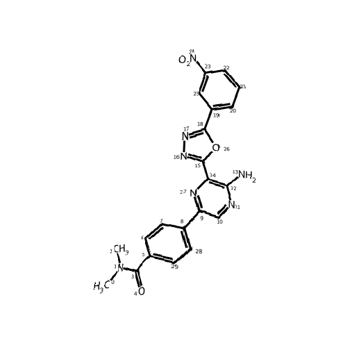 CN(C)C(=O)c1ccc(-c2cnc(N)c(-c3nnc(-c4cccc([N+](=O)[O-])c4)o3)n2)cc1